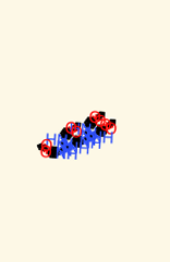 C=CC(=O)Oc1ccc(Nc2nc(Nc3ccc(OC(=O)C=C)cc3)nc(Nc3cccc(Nc4nc(Nc5ccc(OC(=O)C=C)cc5)nc(Nc5ccc(OC(=O)C=C)cc5)n4)c3)n2)cc1